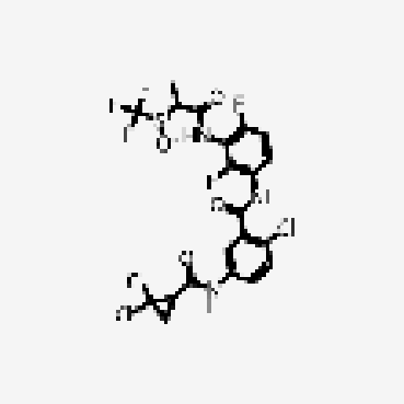 CC(C(=O)Nc1c(F)ccc(NC(=O)c2cc(NC(=O)C3CC3(Cl)Cl)ccc2Cl)c1F)[S+]([O-])C(F)(F)F